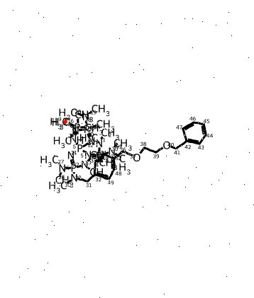 CN(C)P(C)(=N[PH](N=P(C)(C)C)(N=P(C)(N(C)C)N(C)C)N=P(N(C)C)(N(C)C)N(C)Cc1ccc(COCCOCc2ccccc2)cc1)N(C)C